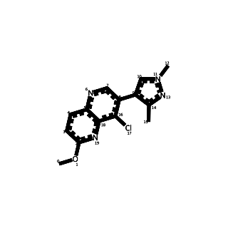 COc1ccc2ncc(-c3cn(C)nc3C)c(Cl)c2n1